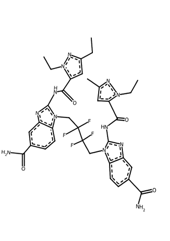 CCc1cc(C(=O)Nc2nc3cc(C(N)=O)ccc3n2CC(F)(F)C(F)(F)Cn2c(NC(=O)c3cc(C)nn3CC)nc3cc(C(N)=O)ccc32)n(CC)n1